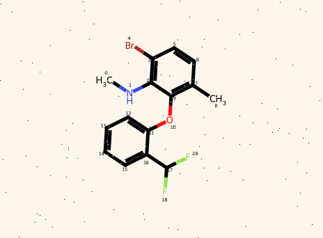 CNc1c(Br)ccc(C)c1Oc1ccccc1C(F)F